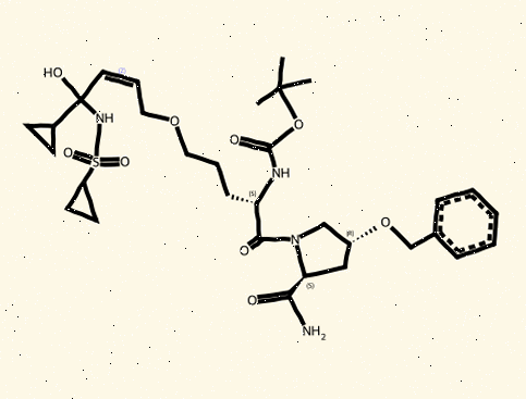 CC(C)(C)OC(=O)N[C@@H](CCCOC/C=C\C(O)(NS(=O)(=O)C1CC1)C1CC1)C(=O)N1C[C@H](OCc2ccccc2)C[C@H]1C(N)=O